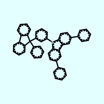 c1ccc(-c2ccc3c(c2)c2cc(-c4ccccc4)ccc2n3-c2cccc(C3(c4ccccc4)c4ccccc4-c4ccccc43)c2)cc1